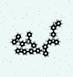 c1ccc(-c2cc(-c3ccccc3)nc(-c3cc(-n4c5ccccc5c5ccccc54)cc(-n4c5ccccc5c5ccc(-c6ccc(-c7ccc(-n8c9ccccc9c9cc(-c%10ccc%11c(c%10)c%10ccccc%10n%11-c%10ccc(-c%11ccc%12oc%13ccccc%13c%12c%11)cc%10)ccc98)cc7)cc6)cc54)c3)n2)cc1